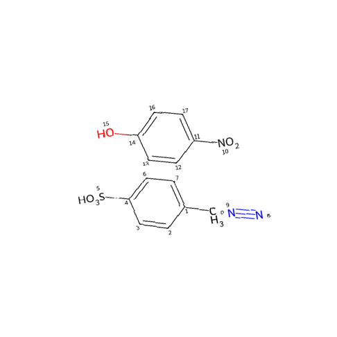 Cc1ccc(S(=O)(=O)O)cc1.N#N.O=[N+]([O-])c1ccc(O)cc1